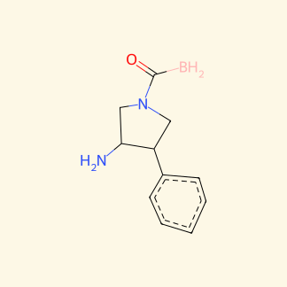 BC(=O)N1CC(N)C(c2ccccc2)C1